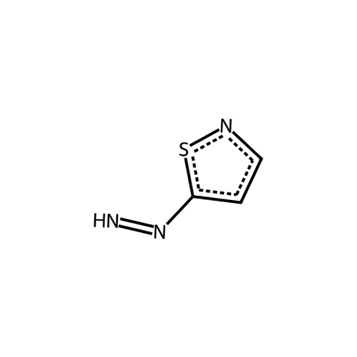 N=Nc1ccns1